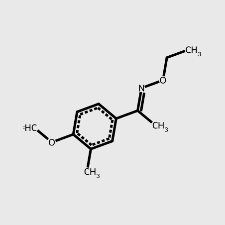 [CH]Oc1ccc(C(C)=NOCC)cc1C